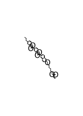 C=CC(=O)OCCCCCCOc1ccc2cc(C(=O)Oc3ccc(C(=O)Oc4ccc(CCC)cc4C)cc3C)ccc2c1